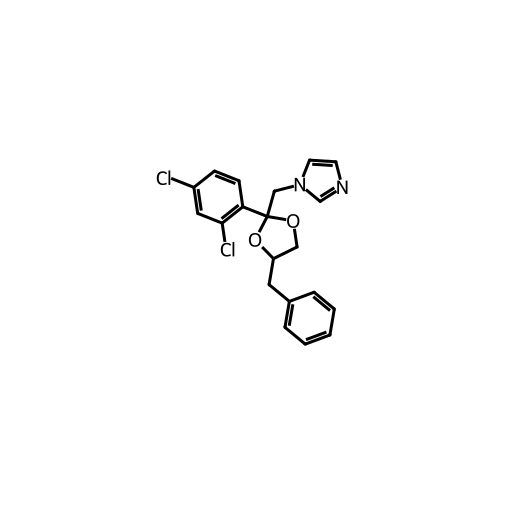 Clc1ccc(C2(Cn3ccnc3)OCC(Cc3ccccc3)O2)c(Cl)c1